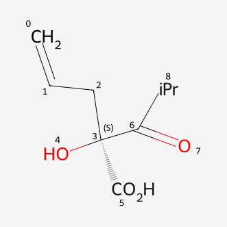 C=CC[C@@](O)(C(=O)O)C(=O)C(C)C